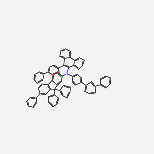 c1ccc(-c2ccc(-c3c(N(c4ccc(-c5cccc(-c6ccccc6)c5)cc4)c4ccc5c(c4)C(c4ccccc4)(c4ccccc4)c4cc(-c6ccccc6)ccc4-5)c4ccccc4c4ccccc34)cc2)cc1